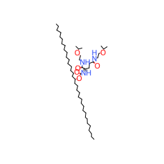 CCCCCCCCCCCCCCCCCCC(CCCCCCCCCCCCCCCCC)OC(=O)N[C@H](CCC(=O)NCCOC(C)C)C(=O)NCCOC(C)C